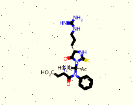 CC(=O)[C@](C(=O)O)(N1C(=O)[C@H](CCCNC(=N)N)NC1=S)N(C(=O)[C@@H](N)CC(=O)O)c1ccccc1